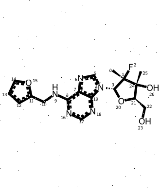 C[C@]1(F)[C@@H](n2cnc3c(NCc4ccco4)ncnc32)O[C@H](CO)[C@@]1(C)O